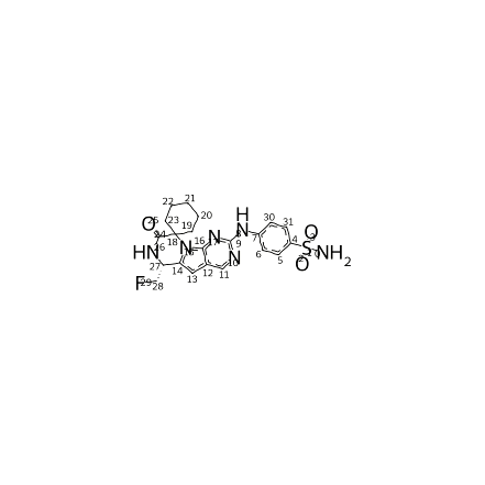 NS(=O)(=O)c1ccc(Nc2ncc3cc4n(c3n2)C2(CCCCC2)C(=O)N[C@H]4CF)cc1